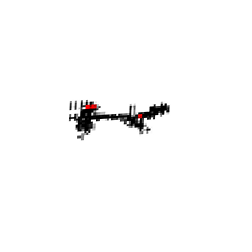 Cc1ncsc1-c1ccc(CNC(=O)[C@@H]2C[C@@H](O)CN2C(=O)[C@@H](NC(=O)COCCCOCCCOCCc2c(CS(C)(=O)=O)c(C(N)=O)cc3c2-c2cn(C)c(=O)c4[nH]cc(c24)CN3)C(C)(C)C)cc1